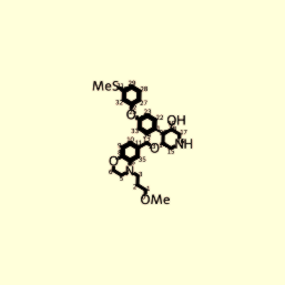 COCCCN1CCOc2ccc(CO[C@H]3CNC[C@@H](O)[C@@H]3c3ccc(Oc4cccc(SC)c4)cc3)cc21